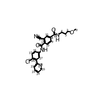 COCCCNC(=O)c1ccc(C(=O)Nc2ccc(Cl)c(-c3ccccn3)c2)c(C#N)c1